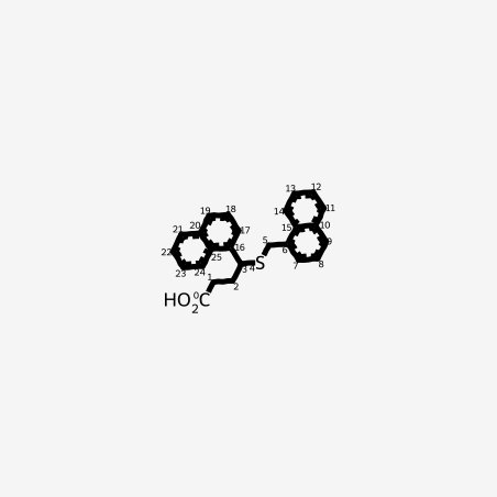 O=C(O)CCC(SCc1cccc2ccccc12)c1cccc2ccccc12